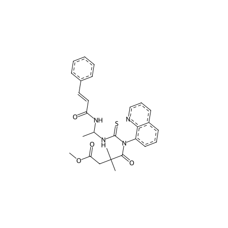 COC(=O)CC(C)(C)C(=O)N(C(=S)NC(C)NC(=O)/C=C/c1ccccc1)c1cccc2cccnc12